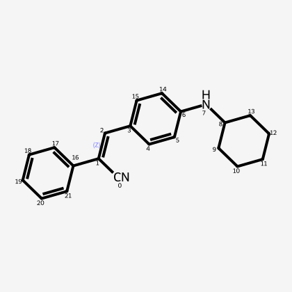 N#C/C(=C\c1ccc(NC2CCCCC2)cc1)c1ccccc1